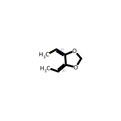 C/C=C1/OCO/C1=C/C